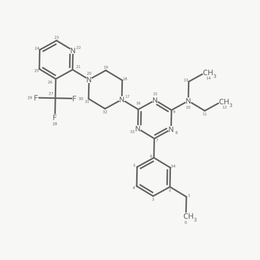 CCc1cccc(-c2nc(N(CC)CC)nc(N3CCN(c4ncccc4C(F)(F)F)CC3)n2)c1